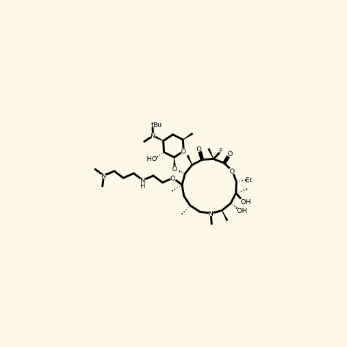 CC[C@H]1OC(=O)[C@@](C)(F)C(=O)[C@H](C)[C@@H](O[C@@H]2O[C@H](C)C[C@H](N(C)C(C)(C)C)[C@H]2O)[C@](C)(OCCNCCCN(C)C)C[C@@H](C)CN(C)[C@H](C)[C@@H](O)[C@]1(C)O